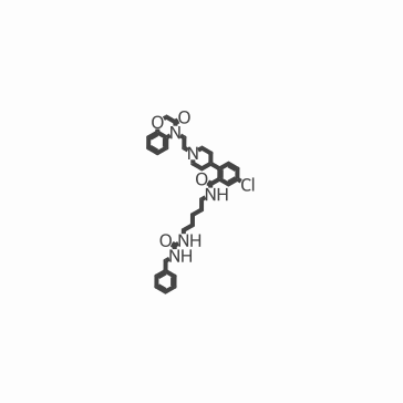 O=C(NCCCCCNC(=O)c1cc(Cl)ccc1C1CCN(CCN2C(=O)COc3ccccc32)CC1)NCc1ccccc1